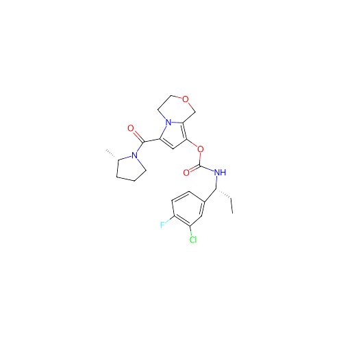 CC[C@@H](NC(=O)Oc1cc(C(=O)N2CCC[C@@H]2C)n2c1COCC2)c1ccc(F)c(Cl)c1